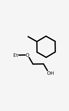 CC1CCCCC1.CCOCCO